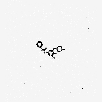 Cc1c(Cl)cc(NC(=O)Oc2ccccc2)cc1CN1CCN(C)CC1